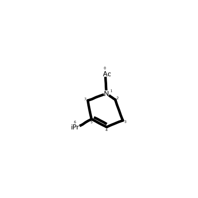 CC(=O)N1CCC=C(C(C)C)C1